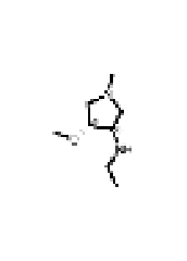 CCN[C@@H]1CN(C)C[C@H]1OC